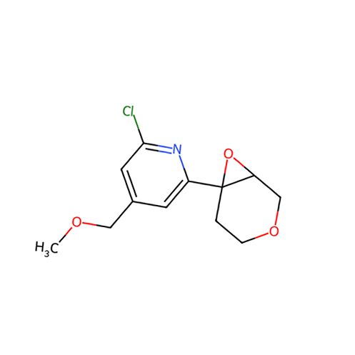 COCc1cc(Cl)nc(C23CCOCC2O3)c1